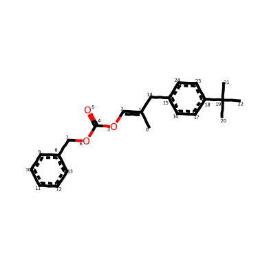 C/C(=C\OC(=O)OCc1ccccc1)Cc1ccc(C(C)(C)C)cc1